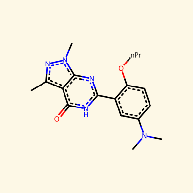 CCCOc1ccc(N(C)C)cc1-c1nc2c(c(C)nn2C)c(=O)[nH]1